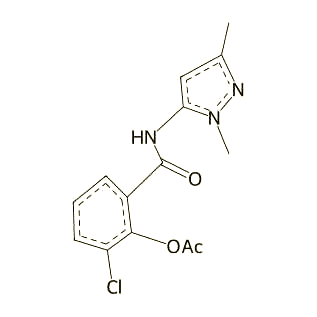 CC(=O)Oc1c(Cl)cccc1C(=O)Nc1cc(C)nn1C